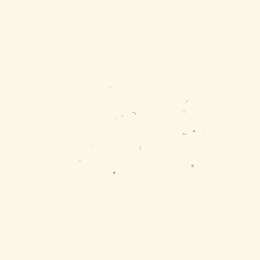 CC(C)O[C@H]1OC(CO)[C@@H](O[C@@H]2OC(CO)[C@H](O)[C@H](O)C2O)C(O)C1O